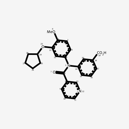 COc1ccc(N(C(=O)c2cccnc2)c2cccc(C(=O)O)c2)cc1OC1CCCC1